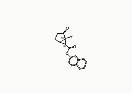 O=C1CCC2[C@H]1[C@H]2C(=O)Oc1ccc2ccccc2c1